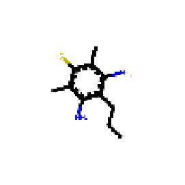 CCCc1c(N)c(C)c(S)c(C)c1N